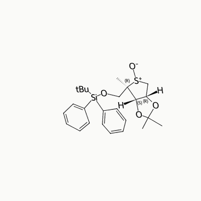 CC1(C)O[C@H]2C[S+]([O-])[C@](C)(CO[Si](c3ccccc3)(c3ccccc3)C(C)(C)C)[C@H]2O1